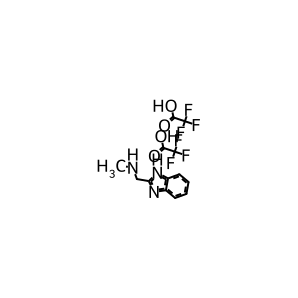 CNCc1nc2ccccc2[nH]1.O=C(O)C(F)(F)F.O=C(O)C(F)(F)F